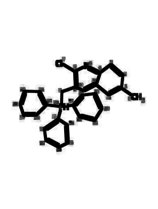 Cc1ccc2nc(Cl)c(C[PH](c3ccccc3)(c3ccccc3)c3ccccc3)cc2c1